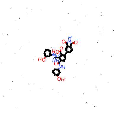 N=C(Nc1cccc(O)c1)c1c(C(=O)Nc2cccc(O)c2)ccc(-c2ccc3c(c2)C(=O)NC3=O)c1C(=O)O